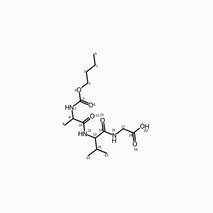 CCCCOC(=O)NC(C)C(=O)NC(C(=O)NCC(=O)O)C(C)C